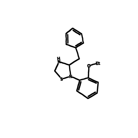 CCOc1ccccc1N1SCNC1Cc1ccccc1